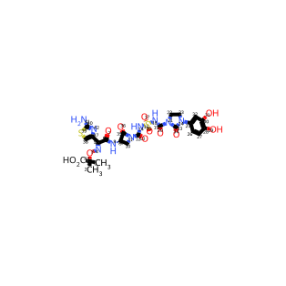 CC(C)(ON=C(C(=O)N[C@H]1CN(C(=O)NS(=O)(=O)NC(=O)N2CCN(c3ccc(O)c(O)c3)C2=O)C1=O)c1csc(N)n1)C(=O)O